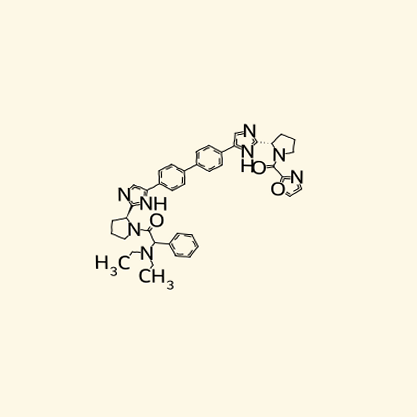 CCN(CC)C(C(=O)N1CCC[C@H]1c1ncc(-c2ccc(-c3ccc(-c4cnc([C@@H]5CCCN5C(=O)c5ncco5)[nH]4)cc3)cc2)[nH]1)c1ccccc1